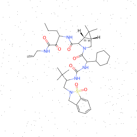 C=CCNC(=O)C(=O)C(CCC)NC(=O)C1[C@H]2[C@@H](CN1C(=O)C(NC(=O)NC(CN1Cc3ccccc3S1(=O)=O)C(C)(C)C)C1CCCCC1)C2(C)C